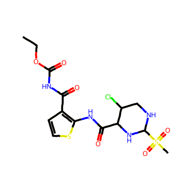 CCOC(=O)NC(=O)c1ccsc1NC(=O)C1NC(S(C)(=O)=O)NCC1Cl